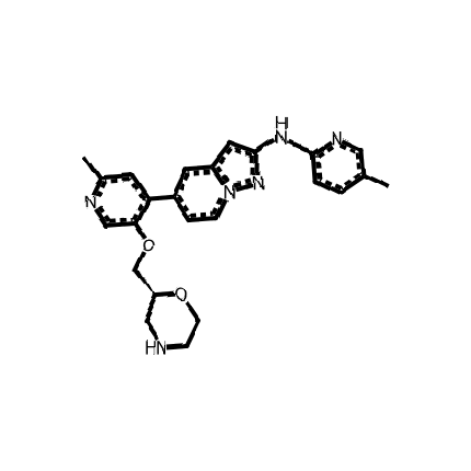 Cc1ccc(Nc2cc3cc(-c4cc(C)ncc4OC[C@@H]4CNCCO4)ccn3n2)nc1